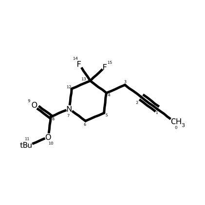 CC#CCC1CCN(C(=O)OC(C)(C)C)CC1(F)F